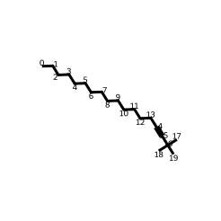 CCCCCCCCCCCCCCC#CC(C)(C)C